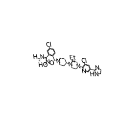 CC[C@H]1CN(c2ncc(C3=NCCN3)cc2Cl)CCN1C1CCN(C(=O)c2ccc(Cl)cc2C(N)=NO)CC1